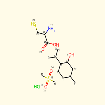 CC1CCC(C(C)C)C(O)C1.CS(C)(=O)=O.Cl.NC(CS)C(=O)O